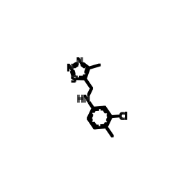 Cc1ccc(NCc2snnc2C)cc1Cl